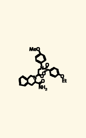 CCOc1ccc(S(=O)(=O)N(CC(=O)N2Cc3ccccc3CC2C(N)=O)c2ccc(OC)cc2)cc1